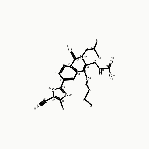 CCCCOc1c(CNC(=O)O)n(CC(C)C)c(=O)c2ccc(-c3nc(C)c(C#N)s3)cc12